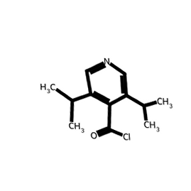 CC(C)c1cncc(C(C)C)c1C(=O)Cl